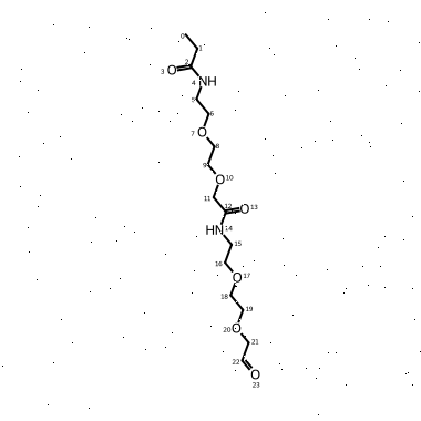 CCC(=O)NCCOCCOCC(=O)NCCOCCOCC=O